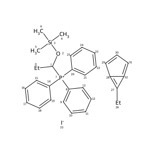 CCC(O[Si](C)(C)C)[P+](c1ccccc1)(c1ccccc1)c1ccccc1.CCc1c2cccc1-2.[I-]